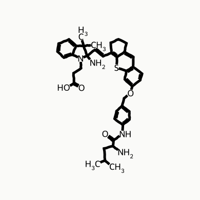 CC(C)CC(N)C(=O)Nc1ccc(COc2ccc3c(c2)SC2=C(C=CC4(N)N(CCC(=O)O)c5ccccc5C4(C)C)CCCC2=C3)cc1